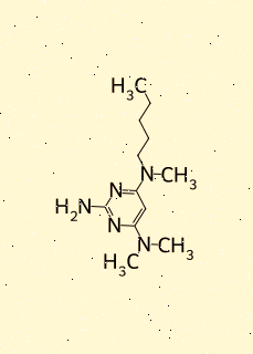 CCCCCN(C)c1cc(N(C)C)nc(N)n1